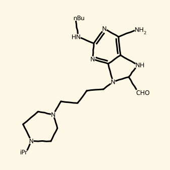 CCCCNc1nc(N)c2c(n1)N(CCCCN1CCN(C(C)C)CC1)C(C=O)N2